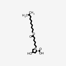 CC(C)CCCCCCCCOC(=O)CCCCCN1CC(O)C[C@H]1C(=O)O